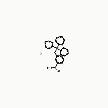 OB(O)c1cccc(C[P+](c2ccccc2)(c2ccccc2)c2ccccc2)c1.[Br-]